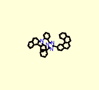 c1ccc(-c2nc(-c3ccc4ccc5ccc6ccccc6c5c4c3)nc(-c3ccccc3-n3c4ccccc4c4c5ccccc5ccc43)n2)cc1